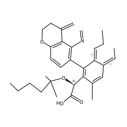 C=Nc1c(-c2c([C@H](OC(C)(C)CCCC)C(=O)O)c(C)cc(=C/C)/c2=C\CC)ccc2c1C(=C)CCO2